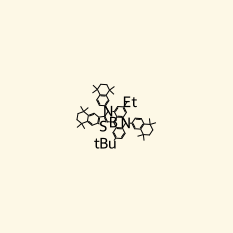 CCc1cc2c3c(c1)N(c1ccc4c(c1)C(C)(C)CCC4(C)C)c1c(sc4cc5c(cc14)C(C)(C)CCC5(C)C)B3c1cc(C(C)(C)C)ccc1N2c1ccc2c(c1)C(C)(C)CCC2(C)C